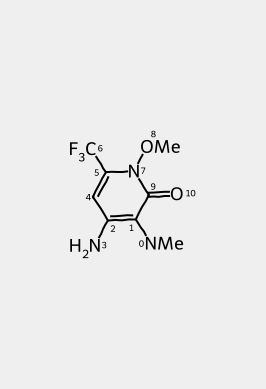 CNc1c(N)cc(C(F)(F)F)n(OC)c1=O